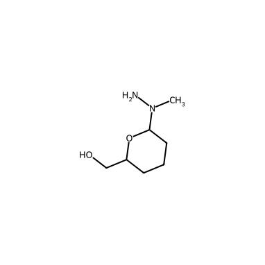 CN(N)C1CCCC(CO)O1